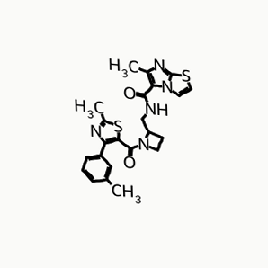 Cc1cccc(-c2nc(C)sc2C(=O)N2CCC2CNC(=O)c2c(C)nc3sccn23)c1